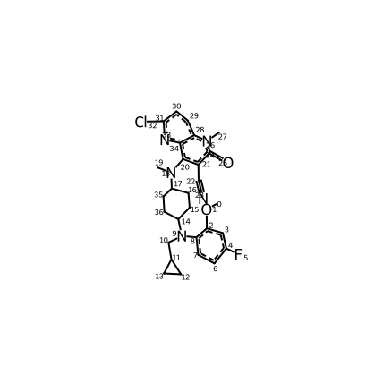 COc1cc(F)ccc1N(CC1CC1)C1CCC(N(C)c2c(C#N)c(=O)n(C)c3ccc(Cl)nc23)CC1